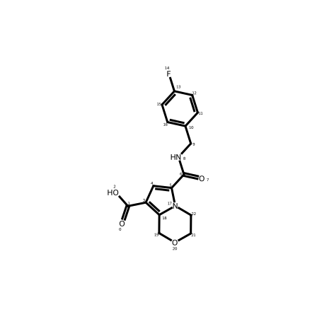 O=C(O)c1cc(C(=O)NCc2ccc(F)cc2)n2c1COCC2